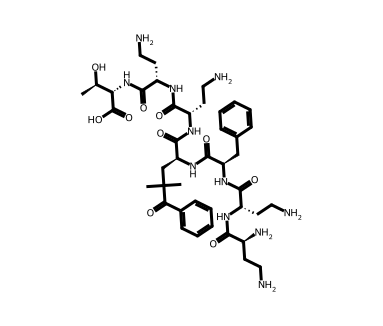 C[C@@H](O)[C@H](NC(=O)[C@H](CCN)NC(=O)[C@H](CCN)NC(=O)[C@H](CC(C)(C)C(=O)c1ccccc1)NC(=O)[C@@H](Cc1ccccc1)NC(=O)[C@H](CCN)NC(=O)[C@@H](N)CCN)C(=O)O